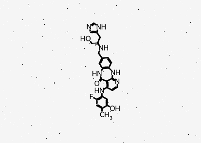 Cc1cc(F)c(Nc2ccnc3c2C(=O)Nc2cc(CN[C@@H](CO)Cc4cnc[nH]4)ccc2N3)cc1O